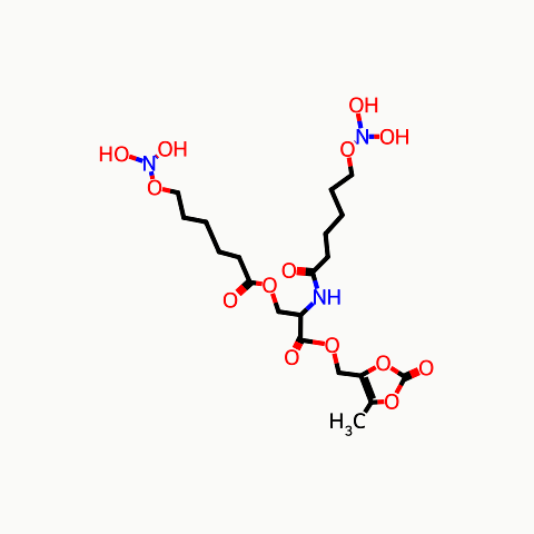 Cc1oc(=O)oc1COC(=O)C(COC(=O)CCCCCON(O)O)NC(=O)CCCCCON(O)O